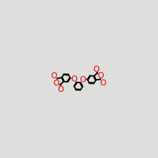 O=C1OC(=O)c2cc(Oc3ccccc3Oc3ccc4c(c3)C(=O)OC4=O)ccc21